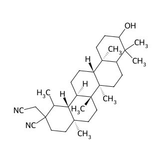 CC1[C@@H]2[C@H]3CC[C@@H]4[C@@]5(C)CCC(O)C(C)(C)C5CC[C@@]4(C)[C@]3(C)CC[C@@]2(C)CCC1(C#N)CC#N